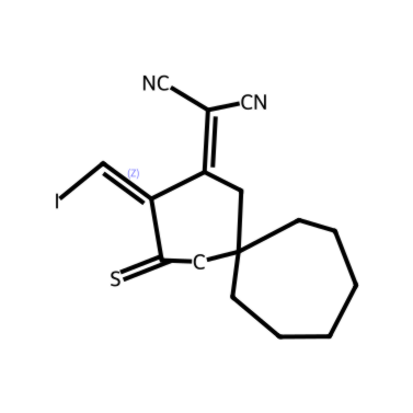 N#CC(C#N)=C1CC2(CCCCCC2)CC(=S)/C1=C\I